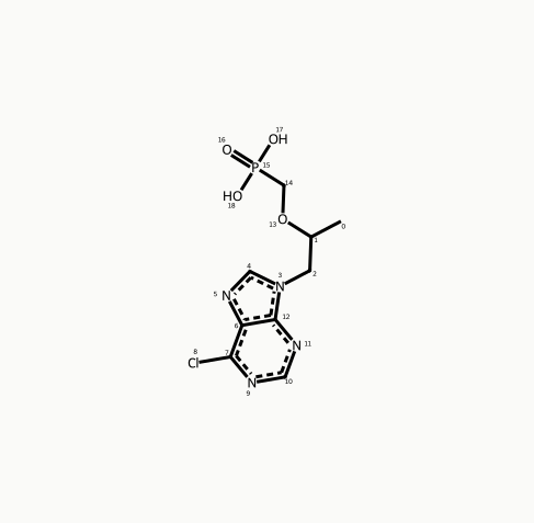 CC(Cn1cnc2c(Cl)ncnc21)OCP(=O)(O)O